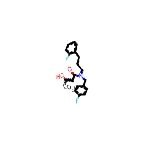 O=C(O)/C(O)=C/C(=O)N(CCCc1ccccc1F)Cc1ccc(F)cc1